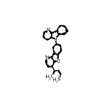 C=C(/C=C\N)c1ccnc2c1oc1ccc(-n3c4ccccc4c4ncccc43)cc12